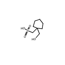 O=S(=O)(O)CC1(CO)CC[CH]CC1